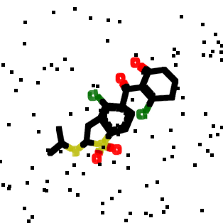 CC(C)SC1Cc2c(ccc(C(=O)C3=C(Cl)CCCC3=O)c2Cl)S1(=O)=O